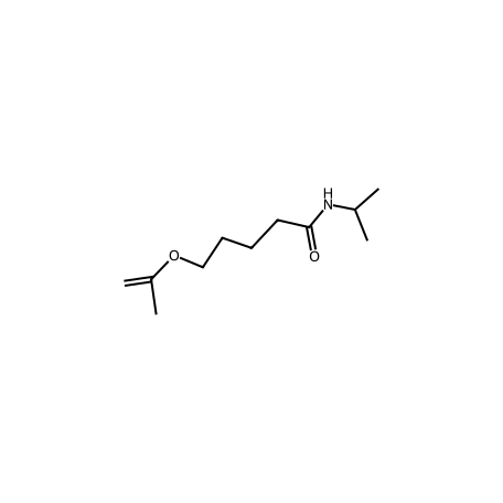 C=C(C)OCCCCC(=O)NC(C)C